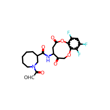 O=CC(=O)N1CCCCCC(C(=O)NC2CC(=O)Oc3c(F)cc(F)c(F)c3OCC2=O)C1